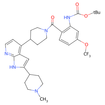 CN1CCC(c2cc3c(C4CCN(C(=O)c5ccc(OC(F)(F)F)cc5NC(=O)OC(C)(C)C)CC4)ccnc3[nH]2)CC1